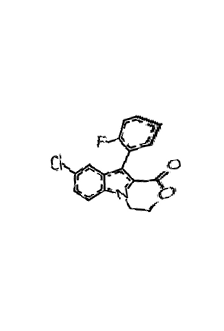 O=C1OCCn2c1c(-c1ccccc1F)c1cc(Cl)ccc12